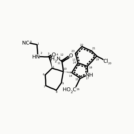 N#CCNC(=O)[C@@H]1CCCC[C@@]1(C(N)=O)c1c(C(=O)O)[nH]c2c(Cl)cccc12